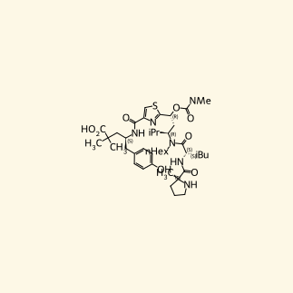 CCCCCCN(C(=O)[C@@H](NC(=O)[C@@]1(C)CCCN1)[C@@H](C)CC)[C@H](C[C@@H](OC(=O)NC)c1nc(C(=O)N[C@@H](Cc2ccc(O)cc2)CC(C)(C)C(=O)O)cs1)C(C)C